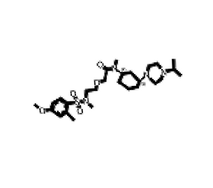 COc1ccc(S(=O)(=O)N(C)CCOCC(=O)N(C)[C@@H]2CCC[C@H](N3CCN(C(C)C)CC3)C2)c(C)c1